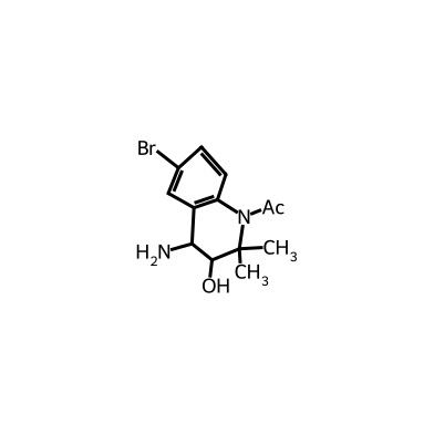 CC(=O)N1c2ccc(Br)cc2C(N)C(O)C1(C)C